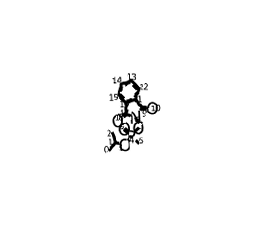 CC(C)OP(C)(=O)ON1C(=O)c2ccccc2C1=O